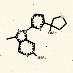 COC1(c2cccc(-n3nc(C)c4cnc(NC(C)=O)cc43)n2)CCOC1